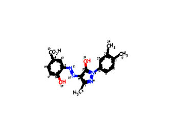 Cc1ccc(-n2nc(C)c(N=Nc3cc(C(=O)O)ccc3O)c2O)cc1C